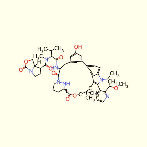 CCn1c(-c2cccnc2[C@H](C)OC)c2c3cc(ccc31)-c1cc(O)cc(c1)C[C@H](NC(=O)[C@H](C(C)C)N(C)C(=O)[C@H]1CCN3C(=O)OC[C@H]13)C(=O)N1CCC[C@H](N1)C(=O)OCC(C)(C)C2